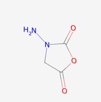 NN1CC(=O)OC1=O